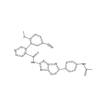 COc1ccc(C#N)cc1-c1cnccc1C(=O)Nc1nc2ccc(-c3ccc(NC(C)=O)cc3)nc2s1